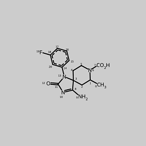 CC1CC2(CCN1C(=O)O)C(N)=NC(=O)N2c1cccc(F)c1